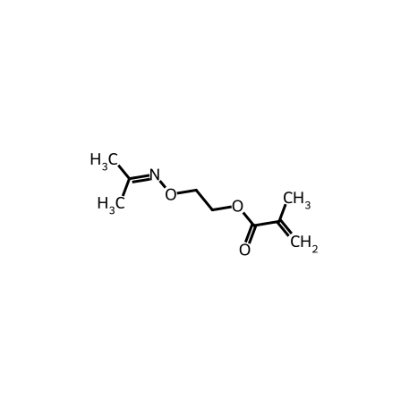 C=C(C)C(=O)OCCON=C(C)C